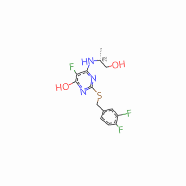 C[C@H](CO)Nc1nc(SCc2ccc(F)c(F)c2)nc(O)c1F